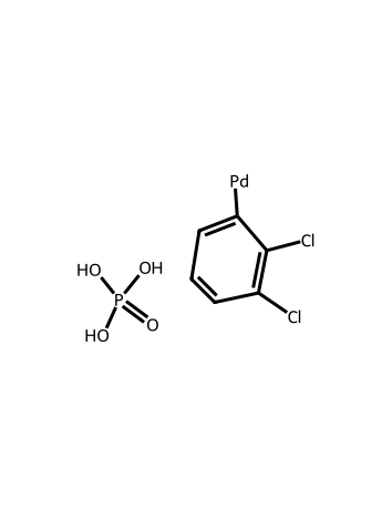 Clc1ccc[c]([Pd])c1Cl.O=P(O)(O)O